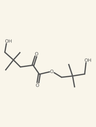 CC(C)(CO)COC(=O)C(=O)CC(C)(C)CO